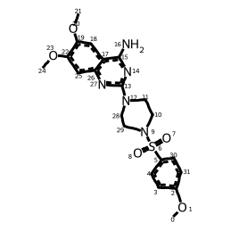 COc1ccc(S(=O)(=O)N2CCN(c3nc(N)c4cc(OC)c(OC)cc4n3)CC2)cc1